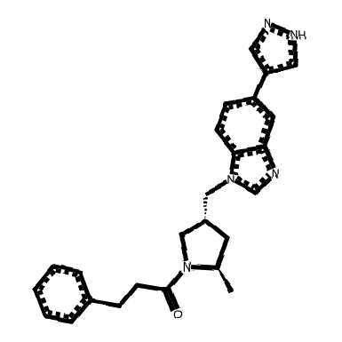 C[C@@H]1C[C@@H](Cn2cnc3cc(-c4cn[nH]c4)ccc32)CN1C(=O)CCc1ccccc1